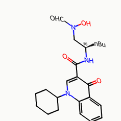 CCCC[C@H](CN(O)C=O)NC(=O)c1cn(C2CCCCC2)c2ccccc2c1=O